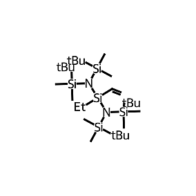 C=C[Si](CC)(N([Si](C)(C)C(C)(C)C)[Si](C)(C)C(C)(C)C)N([Si](C)(C)C(C)(C)C)[Si](C)(C)C(C)(C)C